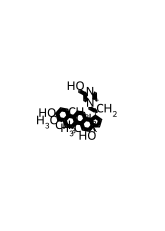 C=C(C[n+]1ccnc(CO)c1)[C@@H]1CC[C@]2(CO)CC[C@]3(C)C(CCC4[C@@]5(C)CC[C@H](O)C(C)(C)C5CC[C@]43C)C12